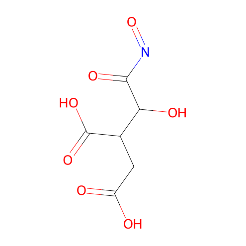 O=NC(=O)C(O)C(CC(=O)O)C(=O)O